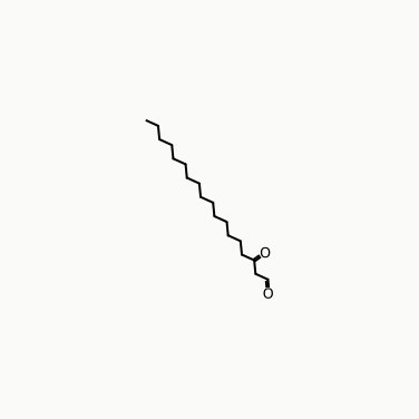 CCCCCCCCCCCCCCCC(=O)CC=O